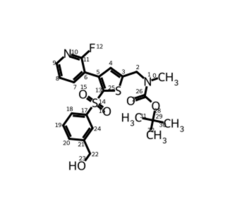 CN(Cc1cc(-c2cccnc2F)c(S(=O)(=O)c2cccc(CO)c2)s1)C(=O)OC(C)(C)C